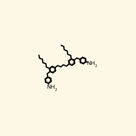 CCCCCCc1cc(CCCCc2ccc(Cc3ccc(N)cc3)c(CCCCCC)c2)ccc1Cc1ccc(N)cc1